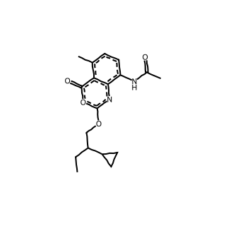 CCC(COc1nc2c(NC(C)=O)ccc(C)c2c(=O)o1)C1CC1